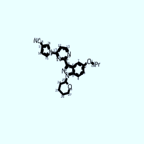 CC(C)Oc1ccc2c(c1)c(-c1nccc(-n3ccc(C#N)c3)n1)nn2C1CCCCO1